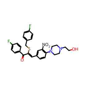 O=C(C(=Cc1ccc(N2CCN(CCO)CC2)c([N+](=O)[O-])c1)SCc1ccc(F)cc1)c1ccc(F)cc1